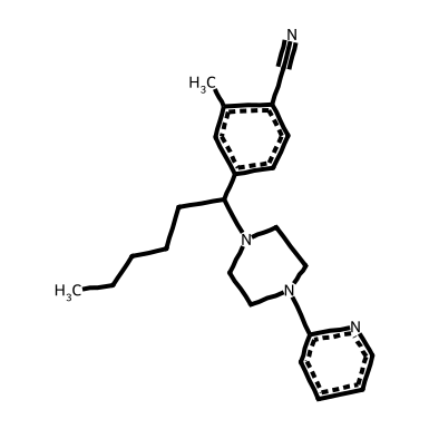 CCCCCC(c1ccc(C#N)c(C)c1)N1CCN(c2ccccn2)CC1